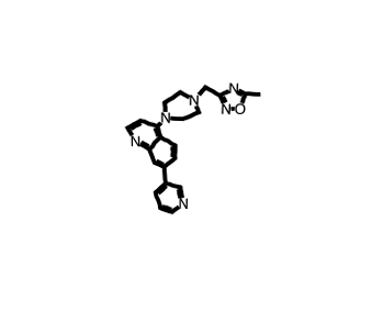 Cc1nc(CN2CCN(c3ccnc4cc(-c5cccnc5)ccc34)CC2)no1